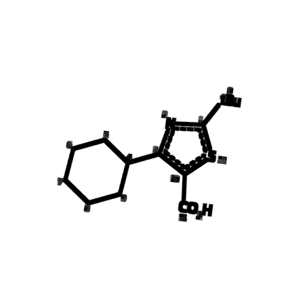 CC(C)(C)c1nc(C2CCCCC2)c(C(=O)O)s1